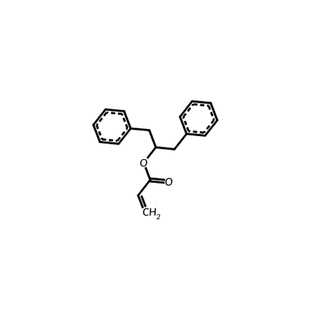 C=CC(=O)OC(Cc1ccccc1)Cc1ccccc1